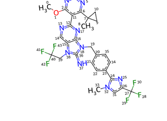 COc1ncnc(C2(C)CC2)c1-c1ncc2c(n1)n(Cc1ccc(-c3nc(C(F)(F)F)cn3C)cc1)c(=N)n2CC(F)(F)F